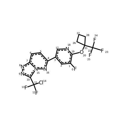 Fc1cc(-c2ccc3nnc(C(F)(F)Cl)n3n2)cnc1OC1(C(F)(F)F)CCC1